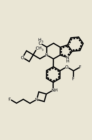 CC1Cc2c([nH]c3ccccc23)C(c2ccc(NC3CN(CCCF)C3)cc2OC(F)F)N1CC1(C)COC1